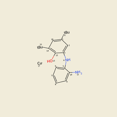 CC(C)(C)c1cc(Nc2ccccc2N)c(O)c(C(C)(C)C)c1.[Cu]